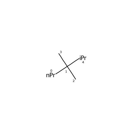 C[CH]CC(C)(C)C(C)C